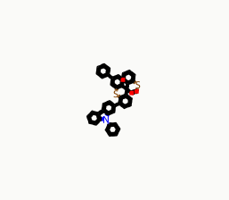 c1ccc(-c2ccc3c(c2)Sc2c(-c4ccc5c6ccccc6n(-c6ccccc6)c5c4)cccc2C32c3ccccc3Sc3ccccc32)cc1